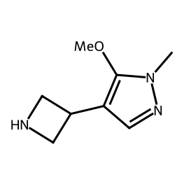 COc1c(C2CNC2)cnn1C